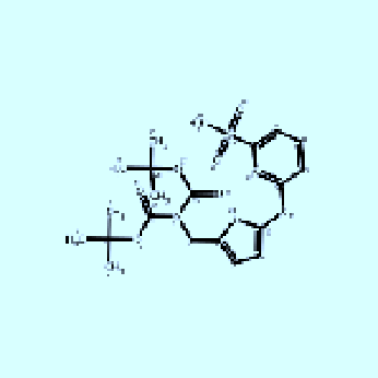 CC(C)(C)OC(=O)N(Cc1ccc(Sc2cccc(S(C)(=O)=O)n2)s1)C(=O)OC(C)(C)C